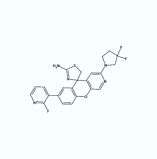 NC1=NC2(CS1)c1cc(-c3cccnc3F)ccc1Oc1cnc(N3CCC(F)(F)C3)cc12